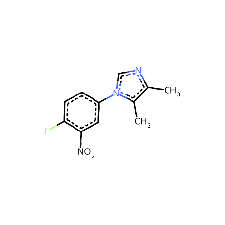 Cc1ncn(-c2ccc(F)c([N+](=O)[O-])c2)c1C